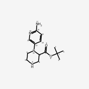 CC(C)(C)OC(=O)C1CNCCN1c1ccc(N)nc1